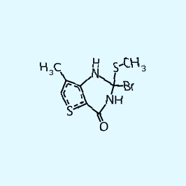 CSC1(Br)NC(=O)c2scc(C)c2N1